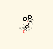 C[C@@H](CO[Si](c1ccccc1)(c1ccccc1)C(C)(C)C)CC(C)(C)[Si](C)(C)O